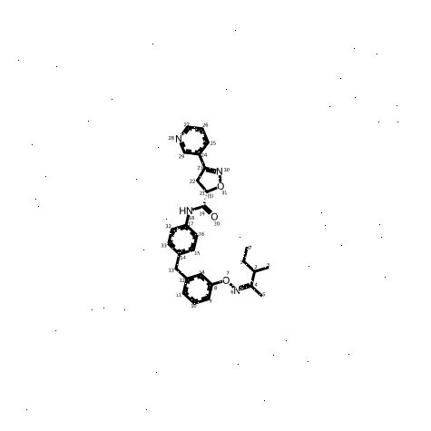 CCC(C)C(C)=NOc1cccc(Cc2ccc(NC(=O)[C@@H]3CC(c4cccnc4)=NO3)cc2)c1